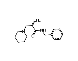 C=C(CN1CCCCC1)C(=O)NCc1ccccc1